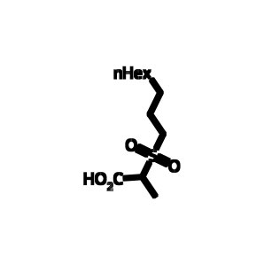 CCCCCCCCCS(=O)(=O)C(C)C(=O)O